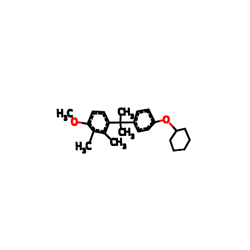 COc1ccc(C(C)(C)c2ccc(OC3CCCCC3)cc2)c(C)c1C